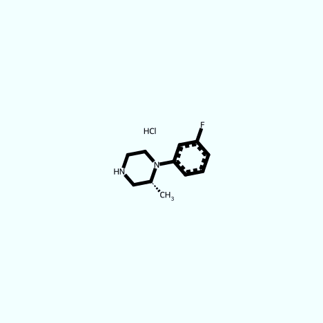 C[C@@H]1CNCCN1c1cccc(F)c1.Cl